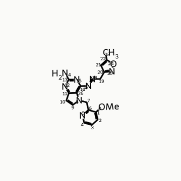 COc1cccnc1Cn1ccc2nc(N)nc(N=NCc3cc(C)on3)c21